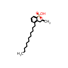 C=CCc1c(CCCCCCCCCCCC)cccc1S(=O)(=O)O